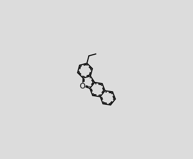 CCc1ccc2oc3cc4ccccc4cc3c2c1